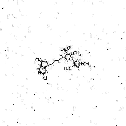 Cc1cn(C)nc1-n1nc(OCCCn2nc(Cl)c3cnc(Cl)nc32)c([N+](=O)[O-])c1C